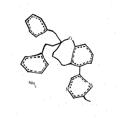 Cc1cncc(-c2cccc3c2CCC(Cc2ccccc2)(Cc2ccccc2)O3)n1.N